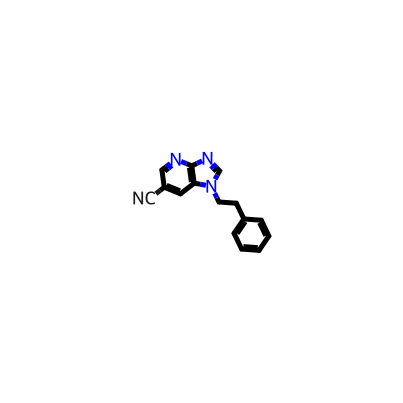 N#Cc1cnc2ncn(CCc3ccccc3)c2c1